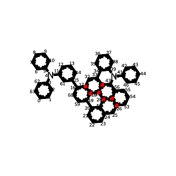 c1ccc(N(c2ccccc2)c2cccc(-c3ccc(-c4cccc5cccc(-c6cccc(-c7ccccc7N(c7ccccc7)c7cccc8ccccc78)c6)c45)cc3)c2)cc1